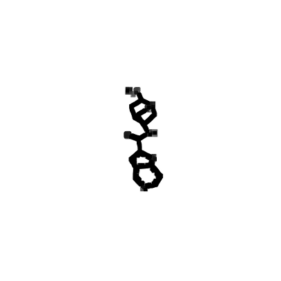 CC1CC2CCN1CC2NC(=O)c1cc2cnccc2s1